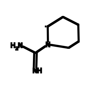 N=C(N)N1[CH]CCCC1